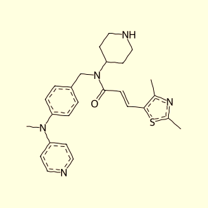 Cc1nc(C)c(C=CC(=O)N(Cc2ccc(N(C)c3ccncc3)cc2)C2CCNCC2)s1